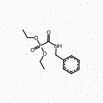 CCOP(=O)(OCC)C(=O)NCc1ccccc1